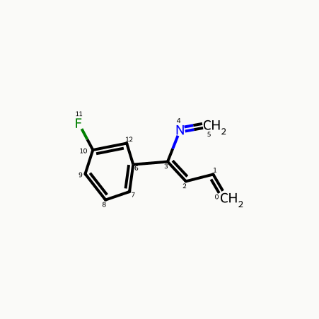 C=C/C=C(\N=C)c1cccc(F)c1